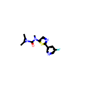 CC1C(C)N1C(=O)N(C)c1cnc(-c2cncc(F)c2)s1